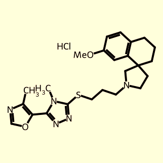 COc1ccc2c(c1)C1(CCC2)CCN(CCCSc2nnc(-c3ocnc3C)n2C)C1.Cl